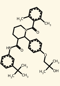 Cc1cccc(C)c1C(=O)N1CCCC(C(=O)Nc2cccc(C(C)(C)C)c2)C1c1ccc(OCC(C)(C)O)cc1